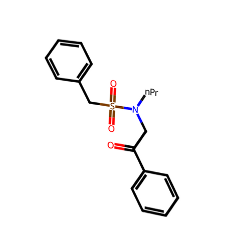 CCCN(CC(=O)c1ccccc1)S(=O)(=O)Cc1ccccc1